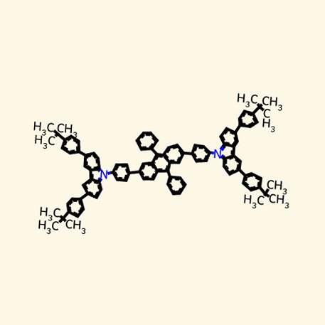 CC(C)(C)c1ccc(-c2ccc3c(c2)c2cc(-c4ccc(C(C)(C)C)cc4)ccc2n3-c2ccc(-c3ccc4c(-c5ccccc5)c5cc(-c6ccc(-n7c8ccc(-c9ccc(C(C)(C)C)cc9)cc8c8cc(-c9ccc(C(C)(C)C)cc9)ccc87)cc6)ccc5c(-c5ccccc5)c4c3)cc2)cc1